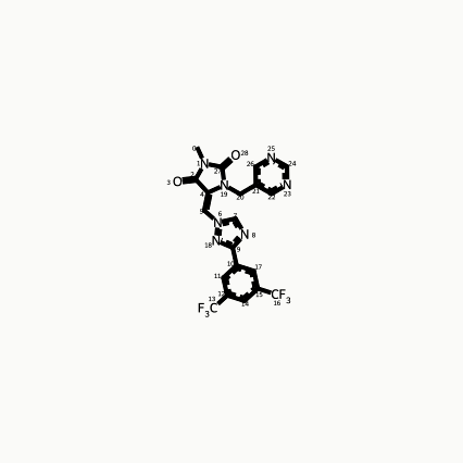 CN1C(=O)/C(=C/n2cnc(-c3cc(C(F)(F)F)cc(C(F)(F)F)c3)n2)N(Cc2cncnc2)C1=O